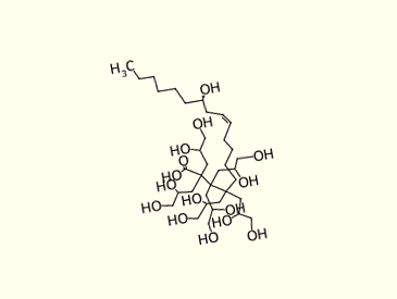 CCCCCC[C@@H](O)C/C=C\CCCCC(CC(O)CO)(CC(O)CO)C(CC(O)CO)(CC(O)CO)C(CC(O)CO)(CC(O)CO)C(=O)O